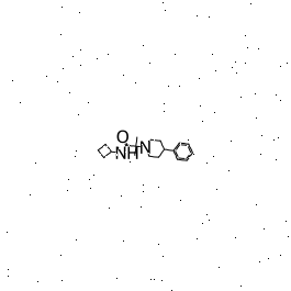 CC(C)(C(=O)NC1CCC1)N1CCC(c2ccccc2)CC1